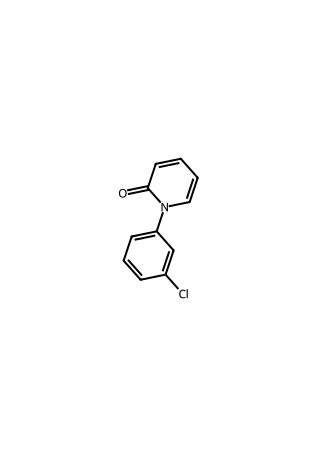 O=c1ccccn1-c1cccc(Cl)c1